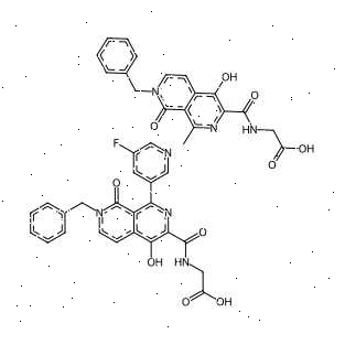 Cc1nc(C(=O)NCC(=O)O)c(O)c2ccn(Cc3ccccc3)c(=O)c12.O=C(O)CNC(=O)c1nc(-c2cncc(F)c2)c2c(=O)n(Cc3ccccc3)ccc2c1O